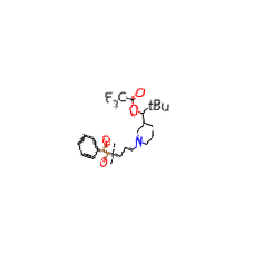 CC(C)(C)C(OC(=O)C(F)(F)F)C1CCCN(CCCC(C)(C)S(=O)(=O)c2ccccc2)C1